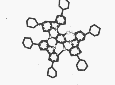 Cc1c2c3c4c5c1-n1c6ccc(C7CCCCC7)cc6c6cc(C7CCCCC7)cc(c61)B5c1cc(C5CCCCC5)cc5c6cc(C7CCCCC7)cc(c6n-4c15)B3c1cc(C3CCCCC3)cc3c4cc(C5CCCCC5)ccc4n-2c13